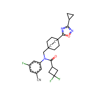 N#Cc1cc(F)cc(N(CC23CCC(c4nc(C5CC5)no4)(CC2)CC3)C(=O)C2CC(F)(F)C2)c1